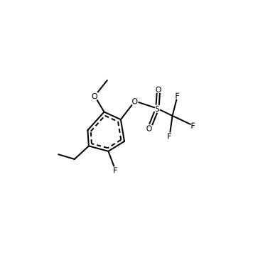 CCc1cc(OC)c(OS(=O)(=O)C(F)(F)F)cc1F